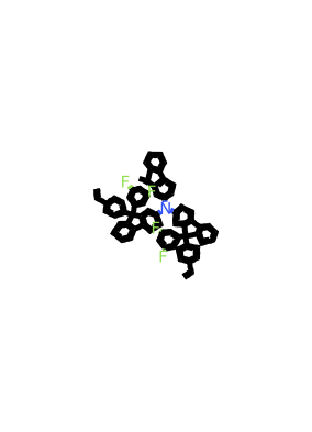 C=Cc1ccc(C2(c3cc(F)cc(F)c3)c3ccccc3-c3ccc(N(c4ccc5c(c4)C(C)(C)c4ccccc4-5)c4ccc5c(c4)C(c4ccc(C=C)cc4)(c4cc(F)cc(F)c4)c4ccccc4-5)cc32)cc1